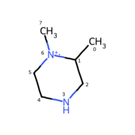 CC1CNCC[N+]1C